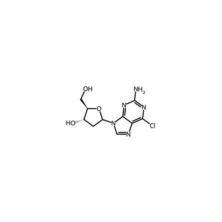 Nc1nc(Cl)c2ncn(C3C[C@H](O)[C@@H](CO)O3)c2n1